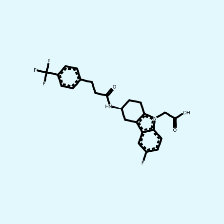 O=C(O)Cn1c2c(c3cc(F)ccc31)C[C@@H](NC(=O)CCc1ccc(C(F)(F)F)cc1)CC2